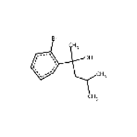 CC(C)CC(C)(O)c1ccccc1Br